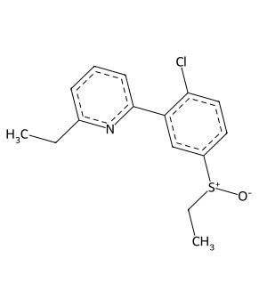 CCc1cccc(-c2cc([S+]([O-])CC)ccc2Cl)n1